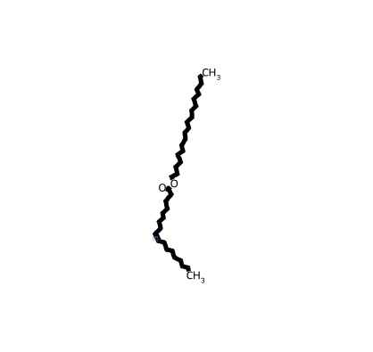 CCCCCCCC/C=C\CCCCCCCC(=O)OCCCCCCCCCCCCCCCCCCCC